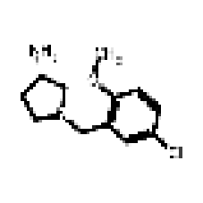 COc1ccc(Cl)cc1CN1CC[C@H](N)C1